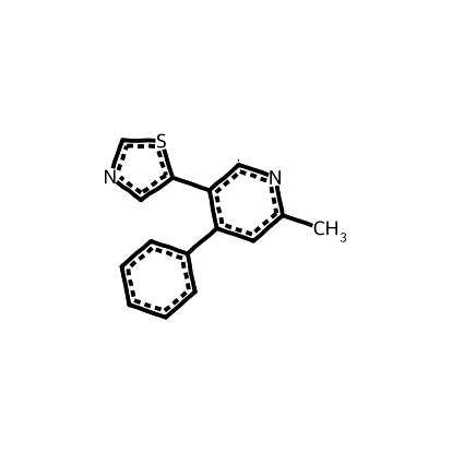 Cc1cc(-c2ccccc2)c(-c2cncs2)[c]n1